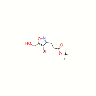 CC(C)(C)OC(=O)CCc1noc(CO)c1Br